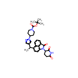 CC(c1cnn(C2CCN(C(=O)OC(C)(C)C)CC2)c1)c1ccc2c3c(cccc13)C(=O)N2C1CCC(=O)NC1=O